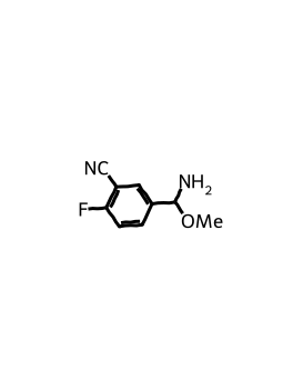 COC(N)c1ccc(F)c(C#N)c1